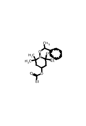 CCC(=O)OC1CC(C)(C)N(OC(C)c2ccccc2)C(CC)(CC)C1